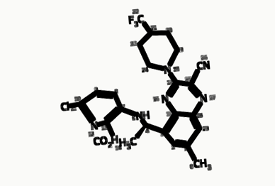 Cc1cc([C@@H](C)Nc2ccc(Cl)nc2C(=O)O)c2nc(N3CCC(C(F)(F)F)CC3)c(C#N)nc2c1